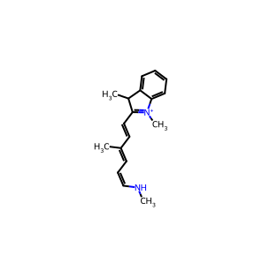 CN\C=C/C=C(C)/C=C/C1=[N+](C)c2ccccc2C1C